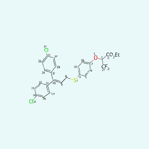 CCOC(=O)C(Oc1ccc(SCC=C(c2ccc(Cl)cc2)c2ccc(Cl)cc2)cc1)C(F)(F)F